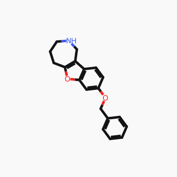 c1ccc(COc2ccc3c4c(oc3c2)CCCNC4)cc1